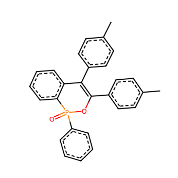 Cc1ccc(C2=C(c3ccc(C)cc3)c3ccccc3P(=O)(c3ccccc3)O2)cc1